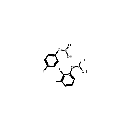 OB(O)Oc1ccc(F)cc1.OB(O)Oc1cccc(F)c1F